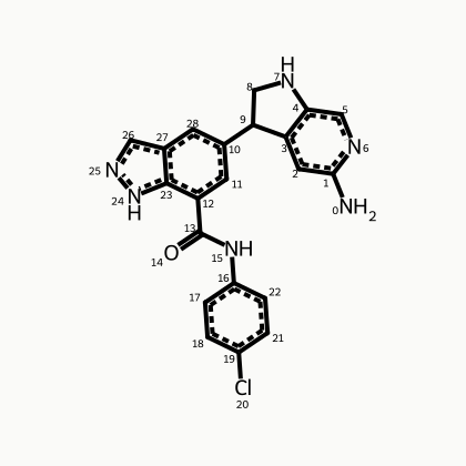 Nc1cc2c(cn1)NCC2c1cc(C(=O)Nc2ccc(Cl)cc2)c2[nH]ncc2c1